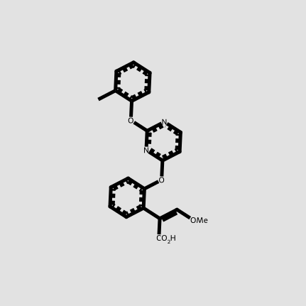 COC=C(C(=O)O)c1ccccc1Oc1ccnc(Oc2ccccc2C)n1